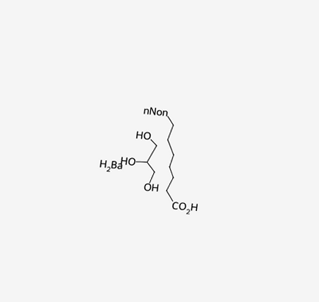 CCCCCCCCCCCCCCCC(=O)O.OCC(O)CO.[BaH2]